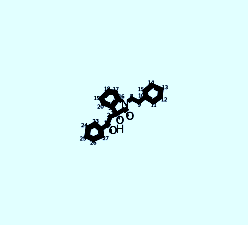 O=C(CC1(O)C(=O)N(CCc2ccccc2)c2ccccc21)c1ccccc1